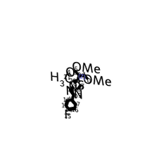 CO/C=C(/C(=O)OC)c1sc2nc(-c3ccc(F)cc3)nn2c1C